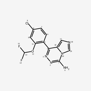 Nc1nnc(-c2ccc(Cl)cc2OC(F)F)c2cncn12